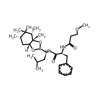 COCCC(=O)N[C@@H](Cc1ccccc1)C(=O)N[C@@H](CC(C)C)B1O[C@@H]2C[C@H](C)C(C)(C)[C@H](C)[C@]2(C)O1